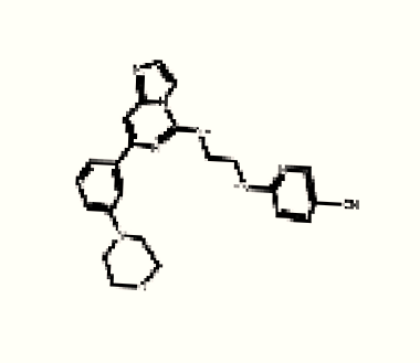 N#Cc1ccc(NCCNc2nc(-c3cccc(N4CCOCC4)c3)cc3nccn23)nc1